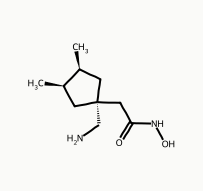 C[C@@H]1C[C@](CN)(CC(=O)NO)C[C@@H]1C